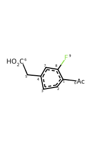 CC(=O)c1ccc(CC(=O)O)cc1F